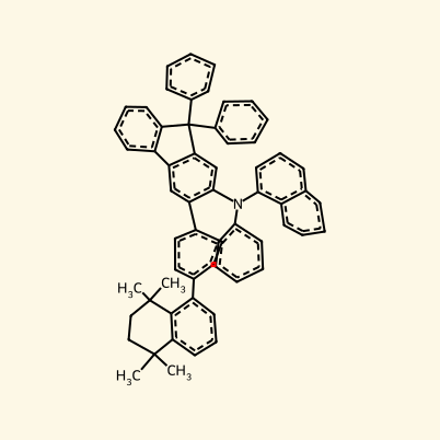 CC1(C)CCC(C)(C)c2c(-c3ccc(-c4cc5c(cc4N(c4ccccc4)c4cccc6ccccc46)C(c4ccccc4)(c4ccccc4)c4ccccc4-5)cc3)cccc21